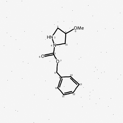 COC1CNN(C(=O)OCc2ccccc2)C1